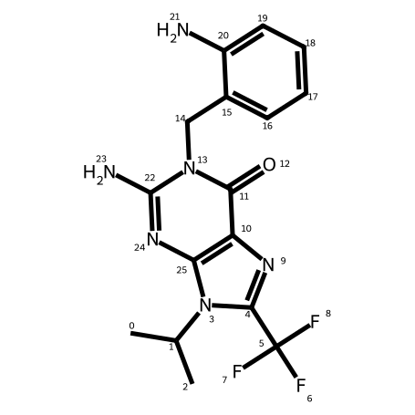 CC(C)n1c(C(F)(F)F)nc2c(=O)n(Cc3ccccc3N)c(N)nc21